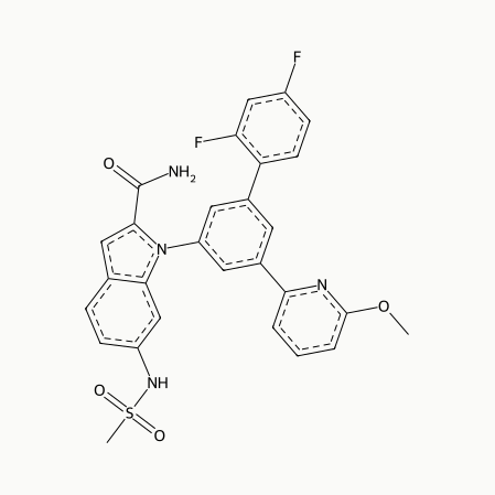 COc1cccc(-c2cc(-c3ccc(F)cc3F)cc(-n3c(C(N)=O)cc4ccc(NS(C)(=O)=O)cc43)c2)n1